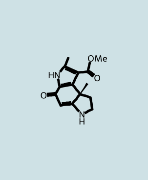 COC(=O)c1c(C)[nH]c2c1[C@]1(C)CCNC1=CC2=O